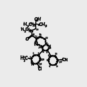 Cc1cc(-c2c(-c3cccc(C#N)c3)nn3ccc(C(=O)N(C)CC(C)(C)O)nc23)cc(Cl)n1